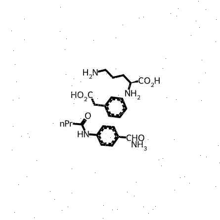 CCCC(=O)Nc1ccc(C=O)cc1.N.NCCC[C@H](N)C(=O)O.O=C(O)Cc1ccccc1